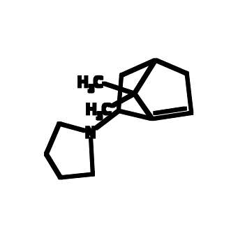 CC1(C)C2=CCC1CC2N1CCCC1